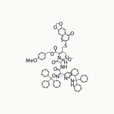 COc1ccc(COC(=O)C2=C(CSc3cc(=O)c4cc5c(cc4s3)OCO5)C[S+]([O-])[C@H]3C(NC(=O)/C(=N\OC(c4ccccc4)(c4ccccc4)c4ccccc4)c4csc(NC(c5ccccc5)(c5ccccc5)c5ccccc5)n4)C(=O)N23)cc1